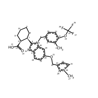 Cc1cc(Cn2c([C@@H]3CCCC[C@@H]3C(=O)O)nc3ccc(OCc4ccn(C)n4)cc32)ccc1OC(F)(F)F